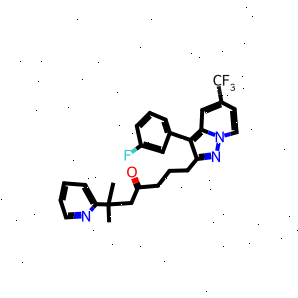 CC(C)(CC(=O)CCCc1nn2ccc(C(F)(F)F)cc2c1-c1cccc(F)c1)c1ccccn1